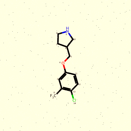 FC(F)(F)c1cc(OCC2CCNC2)ccc1Cl